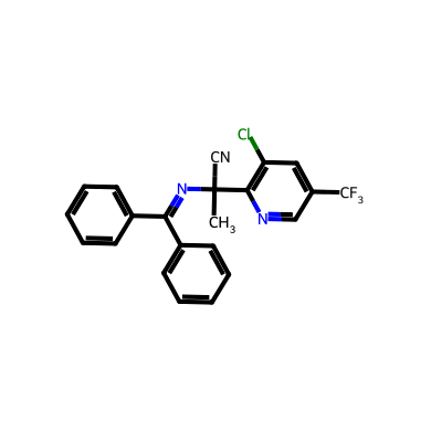 CC(C#N)(N=C(c1ccccc1)c1ccccc1)c1ncc(C(F)(F)F)cc1Cl